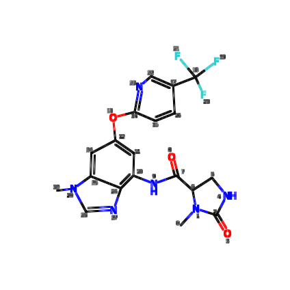 CN1C(=O)NCC1C(=O)Nc1cc(Oc2ccc(C(F)(F)F)cn2)cc2c1ncn2C